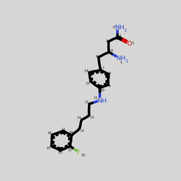 NC(=O)CC(N)Cc1ccc(NCCCCc2ccccc2F)cc1